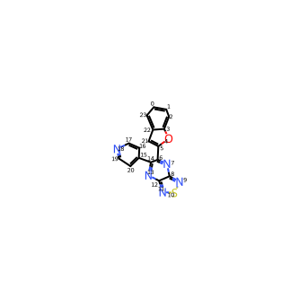 c1ccc2oc(-c3nc4nsnc4nc3-c3ccncc3)cc2c1